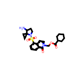 NC1CCN(S(=O)(=O)c2cccc3c(=O)n(COC(=O)C4CCCCC4)ccc23)C12CC2